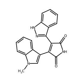 Cn1cc(C2=C(c3n[nH]c4ccccc34)C(=O)NC2=O)c2ccccc21